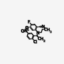 C=C(c1cc([N+](=O)[O-])ccc1Cl)N(CCC)c1ccc(F)cc1C#N